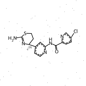 C[C@@]1(c2ccnc(NC(=O)c3ccc(Cl)cn3)c2)CCSC(N)=N1